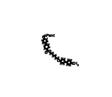 [CH2+][CH-]CCCOc1ccc(C2CCC(C(=O)OCCCCCCOc3ccc(-c4ccc(C)cc4)cc3)CC2)cc1